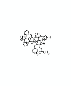 COC(=O)[C@@H]1CCCN1C(=O)OC(Cc1ccccc1)C(=O)N(C)[C@@H](Cc1c[nH]cn1)C(=O)NC(CC1CCCCC1)C(O)CCC(C)C